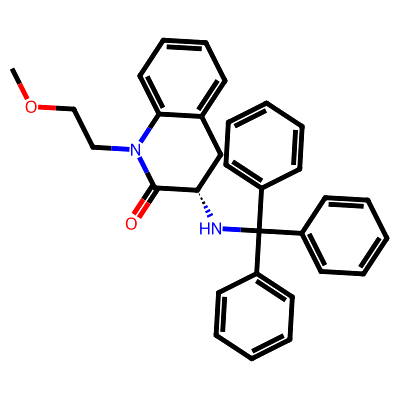 COCCN1C(=O)[C@@H](NC(c2ccccc2)(c2ccccc2)c2ccccc2)Cc2ccccc21